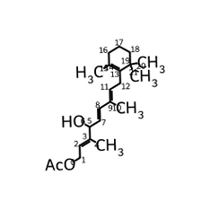 CC(=O)OC/C=C(\C)C(O)/C=C/C(C)=C/CC1=C(C)CCCC1(C)C